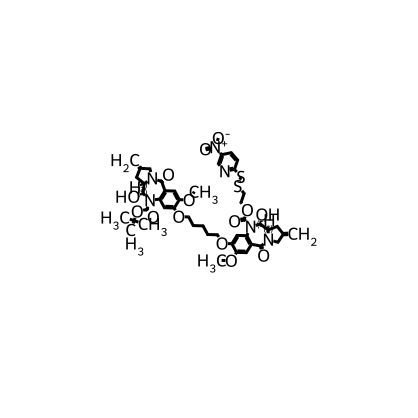 C=C1C[C@H]2[C@H](O)N(C(=O)OCCSSc3ccc([N+](=O)[O-])cn3)c3cc(OCCCCCOc4cc5c(cc4OC)C(=O)N4CC(=C)C[C@H]4[C@H](O)N5C(=O)OC(C)(C)C)c(OC)cc3C(=O)N2C1